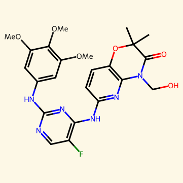 COc1cc(Nc2ncc(F)c(Nc3ccc4c(n3)N(CO)C(=O)C(C)(C)O4)n2)cc(OC)c1OC